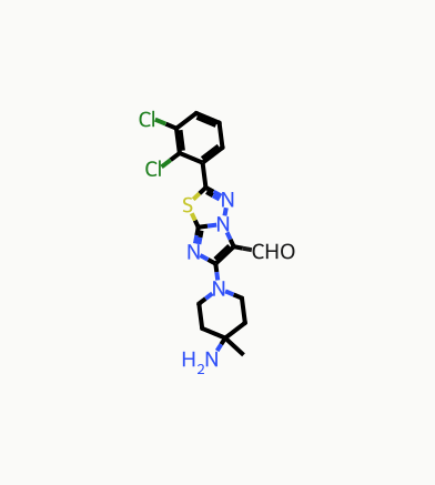 CC1(N)CCN(c2nc3sc(-c4cccc(Cl)c4Cl)nn3c2C=O)CC1